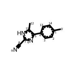 Cc1ccc(-c2nc(C#N)[nH]c2C)cc1